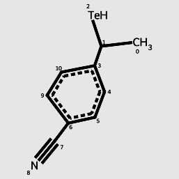 CC([TeH])c1ccc(C#N)cc1